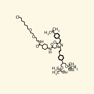 CN(C)c1ccc(/C=C2N=C(/C=C/c3ccc(C(CO[Si](C)(C)C(C)(C)C)CO[Si](C)(C)C(C)(C)C)cc3)N(CC(=O)NC3CCC(C(=O)NCCOCCOCCCCCCCl)CC3)C/2=O)cc1